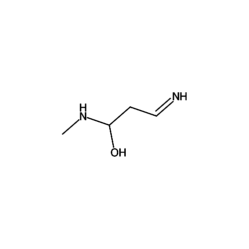 CNC(O)CC=N